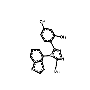 Oc1ccc(-c2nnc(O)n2-c2cccc3scnc23)c(O)c1